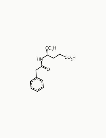 O=C(O)CC[C@@H](NC(=O)Cc1ccccc1)C(=O)O